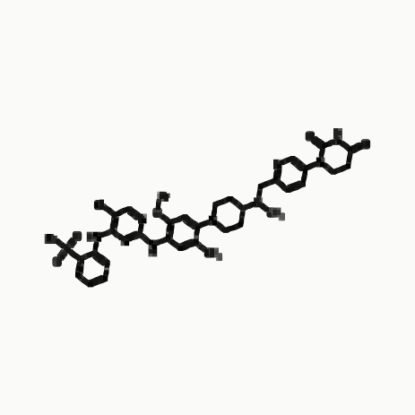 Cc1cc(Nc2ncc(Cl)c(Nc3ccccc3S(=O)(=O)C(C)C)n2)c(OC(C)C)cc1N1CCC(N(C)Cc2ccc(N3CCC(=O)NC3=O)cn2)CC1